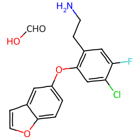 NCCc1cc(F)c(Cl)cc1Oc1ccc2occc2c1.O=CO